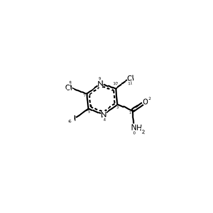 NC(=O)c1nc(I)c(Cl)nc1Cl